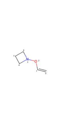 C=CON1CCC1